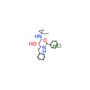 CCC1(NC[C@@H](O)[C@H](Cc2ccccc2)NC(=O)c2ccccc2)CC1.Cl